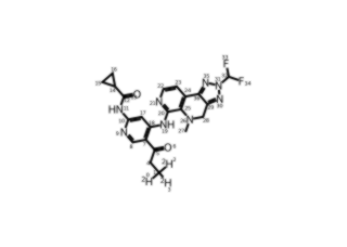 [2H]C([2H])([2H])CC(=O)c1cnc(NC(=O)C2CC2)cc1Nc1nccc2c1N(C)Cc1nn(C(F)F)nc1-2